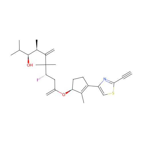 C#Cc1nc(C2=C(C)[C@@H](OC(=C)C[C@H](I)C(C)(C)C(=C)[C@H](C)[C@@H](O)C(C)C)CC2)cs1